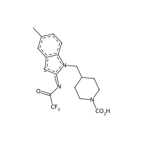 Cc1ccc2c(c1)sc(=NC(=O)C(F)(F)F)n2CC1CCN(C(=O)O)CC1